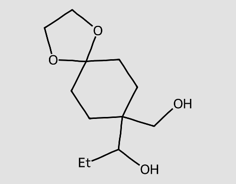 CCC(O)C1(CO)CCC2(CC1)OCCO2